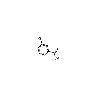 N#CC(=O)c1cccc(Cl)c1